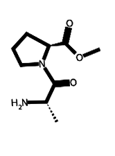 COC(=O)[C@@H]1CCCN1C(=O)[C@H](C)N